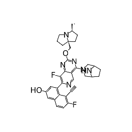 C#Cc1c(F)ccc2cc(O)cc(-c3ncc4c(N5CC6CCC(C5)N6)nc(OC[C@@]56CCCN5[C@@H]([CH2])CC6)nc4c3F)c12